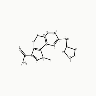 Cn1nc(C(N)=O)c2c1-c1nc(NC3CCNC3)ncc1CC2